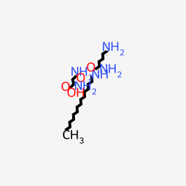 CCCCCCCCCCCCCCCCNC(=O)[C@@H](N)CCCCN.NC(=O)CC(N)C(=O)O